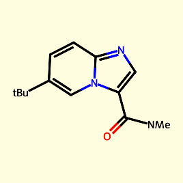 CNC(=O)c1cnc2ccc(C(C)(C)C)cn12